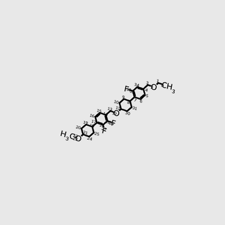 CCOCc1ccc(C2CCC(OCc3ccc(C4CCC(OC)CC4)c(F)c3F)CC2)c(F)c1